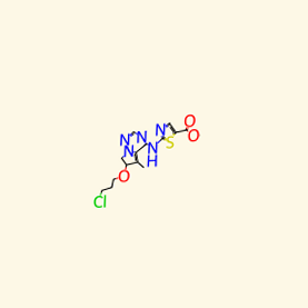 COC(=O)c1cnc(NC2=NC=NN3CC(OCCCCl)C(C)=C23)s1